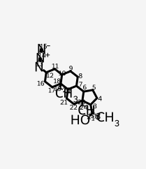 C[C@H](O)C1CCC2C3CCC4CC(N=[N+]=[N-])CCC4(C)C3CCC21C